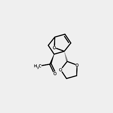 CC(=O)[C@H]1CC2C=C[C@]1(C1OCCO1)O2